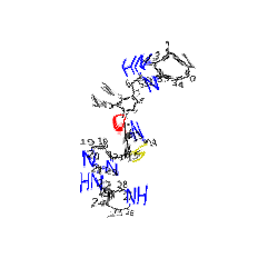 c1ccc2[nH]c(Cc3ccc(Oc4ncsc4-c4ccnc(N[C@H]5CCCNC5)n4)cc3)nc2c1